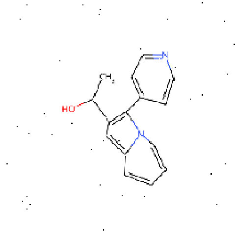 CC(O)c1cc2ccccn2c1-c1ccncc1